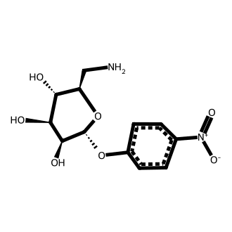 NC[C@H]1O[C@H](Oc2ccc([N+](=O)[O-])cc2)[C@@H](O)[C@@H](O)[C@@H]1O